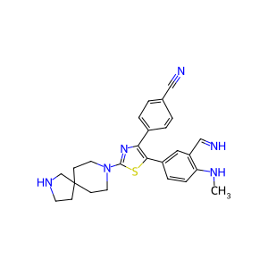 CNc1ccc(-c2sc(N3CCC4(CCNC4)CC3)nc2-c2ccc(C#N)cc2)cc1C=N